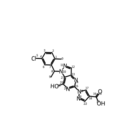 Cc1ccc(Cl)cc1C(C)n1ncc2nc(-n3cc(C(=O)O)cn3)nc(O)c21